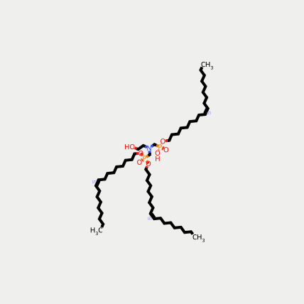 CCCCCCCC/C=C\CCCCCCCCOP(=O)(O)CN(CCO)CP(=O)(OCCCCCCCC/C=C\CCCCCCCC)OCCCCCCCC/C=C\CCCCCCCC